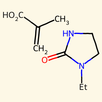 C=C(C)C(=O)O.CCN1CCNC1=O